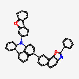 c1ccc(-c2nc3ccc4ccc(-c5ccc(N(c6ccc7c(c6)oc6ccccc67)c6ccccc6-c6ccccc6)cc5)cc4c3o2)cc1